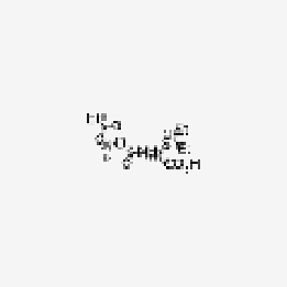 CCC(=O)O[C@@H](C)OC(=O)NC[C@H](SC(CC)CC)C(=O)O